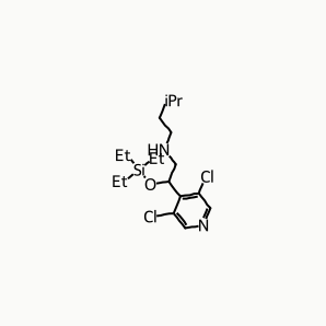 CC[Si](CC)(CC)OC(CNCCC(C)C)c1c(Cl)cncc1Cl